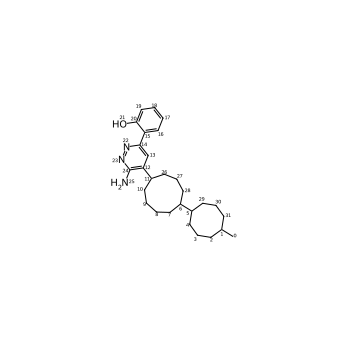 CC1CCCC(C2CCCCC(c3cc(-c4ccccc4O)nnc3N)CCC2)CCC1